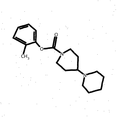 Cc1ccccc1OC(=O)N1CCC(N2CCCCC2)CC1